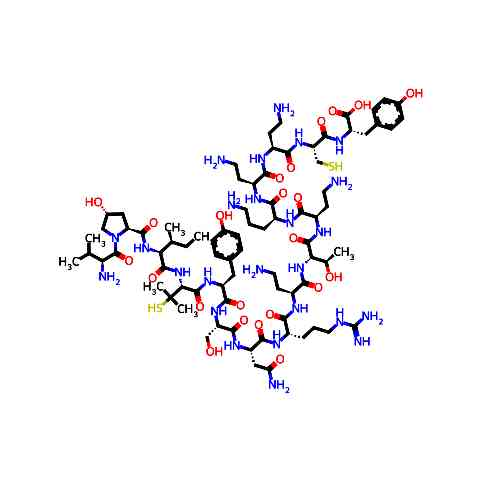 CC[C@H](C)[C@H](NC(=O)[C@@H]1C[C@@H](O)CN1C(=O)[C@@H](N)C(C)C)C(=O)N[C@H](C(=O)N[C@@H](Cc1ccc(O)cc1)C(=O)N[C@@H](CO)C(=O)N[C@@H](CC(N)=O)C(=O)N[C@@H](CCCNC(=N)N)C(=O)N[C@@H](CCN)C(=O)N[C@H](C(=O)N[C@H](CCN)C(=O)N[C@@H](CCCN)C(=O)N[C@@H](CCN)C(=O)N[C@@H](CCN)C(=O)N[C@@H](CS)C(=O)N[C@@H](Cc1ccc(O)cc1)C(=O)O)[C@@H](C)O)C(C)(C)S